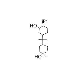 CC(C)C1CCC(C(C)(C)C2CCC(C)(O)CC2)CC1O